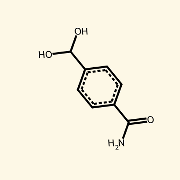 NC(=O)c1ccc(C(O)O)cc1